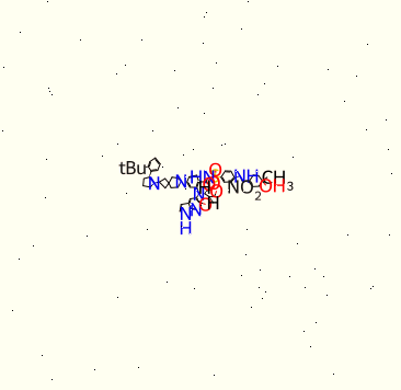 CC1(O)CCC(CNc2ccc(S(=O)(=O)NC(=O)c3ccc(N4CCC5(CC4)CC(N4CCC[C@H]4c4ccccc4C(C)(C)C)C5)cc3N3c4cc5cc[nH]c5nc4O[C@H]4COC[C@@H]43)cc2[N+](=O)[O-])CC1